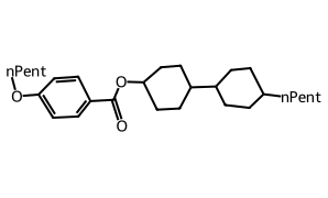 CCCCCOc1ccc(C(=O)OC2CCC(C3CCC(CCCCC)CC3)CC2)cc1